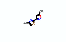 CC(=O)c1csc(-c2cc(C)on2)n1